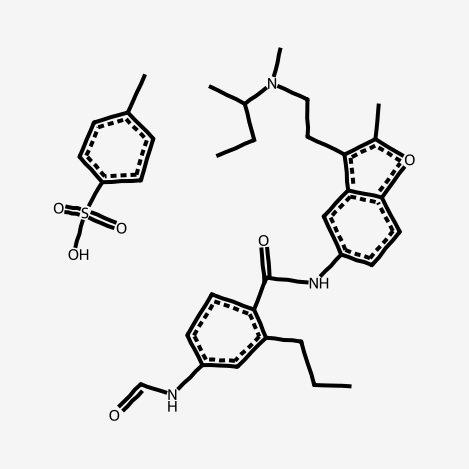 CCCc1cc(NC=O)ccc1C(=O)Nc1ccc2oc(C)c(CCN(C)C(C)CC)c2c1.Cc1ccc(S(=O)(=O)O)cc1